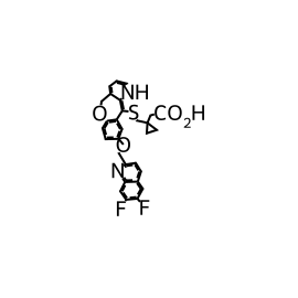 O=C(O)CC1(CSC2=C3NC=CC=C3COc3ccc(OCc4ccc5cc(F)c(F)cc5n4)cc32)CC1